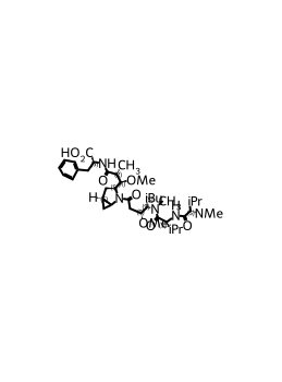 CC[C@H](C)[C@@H]([C@@H](CC(=O)N1C2C[C@H]2C[C@H]1[C@H](OC)[C@@H](C)C(=O)N[C@@H](Cc1ccccc1)C(=O)O)OC)N(C)C(=O)[C@@H](NC(=O)[C@@H](NC)C(C)C)C(C)C